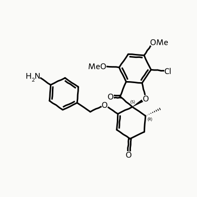 COc1cc(OC)c2c(c1Cl)O[C@]1(C2=O)C(OCc2ccc(N)cc2)=CC(=O)C[C@H]1C